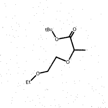 [CH2]C(OCCOCC)C(=O)OC(C)(C)C